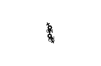 CC(C)(C)c1ccc2nc(-c3ccc4oc(C(C)(C)C)nc4c3)oc2c1